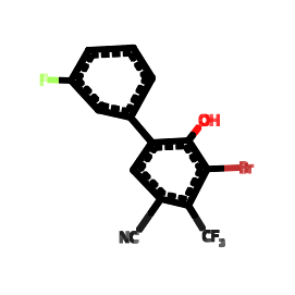 N#Cc1cc(-c2cccc(F)c2)c(O)c(Br)c1C(F)(F)F